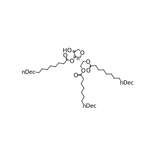 CCCCCCCCCCCCCCCCCC(=O)OC(COC(=O)CCCCCCCCCCCCCCCC)[C@H]1OC[C@@H](O)[C@@H]1OC(=O)CCCCCCCCCCCCCCCCC